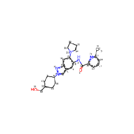 O=C(Nc1cc2cn(C3CCC(CO)CC3)nc2cc1N1CCCC1)c1cccc(C(F)(F)F)n1